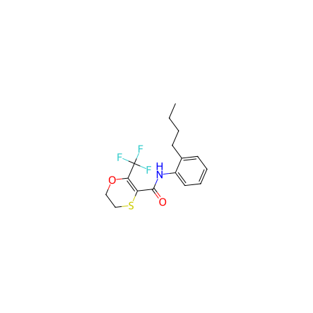 CCCCc1ccccc1NC(=O)C1=C(C(F)(F)F)OCCS1